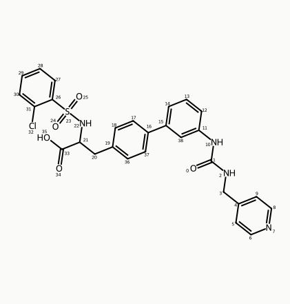 O=C(NCc1ccncc1)Nc1cccc(-c2ccc(CC(NS(=O)(=O)c3ccccc3Cl)C(=O)O)cc2)c1